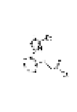 C=C(CC)CCc1ccccc1-c1csc(CC)n1